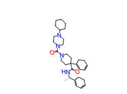 C[C@H](NC(=O)C1(C2=CC=CCC2)CCN(C(=O)N2CCN(C3CCCCC3)CC2)CC1)C1=CC=CCC1